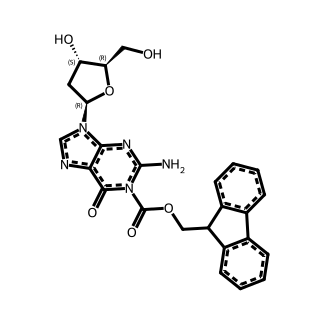 Nc1nc2c(ncn2[C@H]2C[C@H](O)[C@@H](CO)O2)c(=O)n1C(=O)OCC1c2ccccc2-c2ccccc21